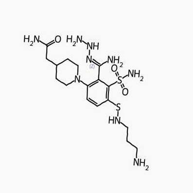 NCCCNSc1ccc(N2CCC(CC(N)=O)CC2)c(/C(N)=N/NN)c1S(N)(=O)=O